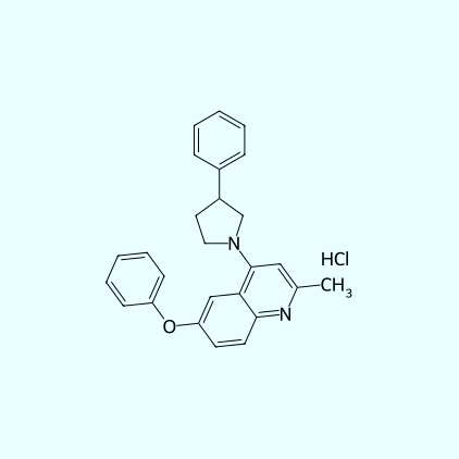 Cc1cc(N2CCC(c3ccccc3)C2)c2cc(Oc3ccccc3)ccc2n1.Cl